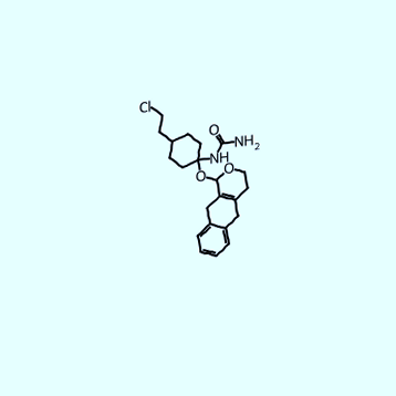 NC(=O)NC1(OC2OCCC3=C2Cc2ccccc2C3)CCC(CCCl)CC1